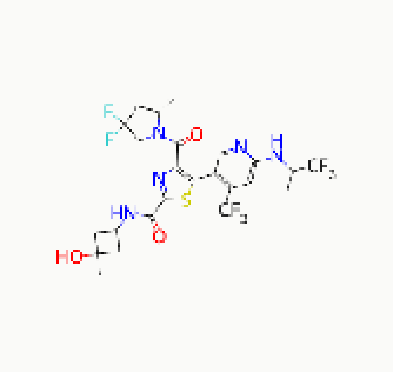 CC(Nc1cc(C(F)(F)F)c(-c2sc(C(=O)NC3CC(C)(O)C3)nc2C(=O)N2CC(F)(F)C[C@@H]2C)cn1)C(F)(F)F